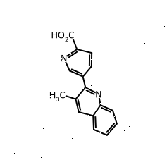 Cc1cc2ccccc2nc1-c1ccc(C(=O)O)nc1